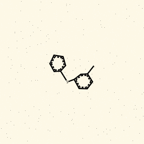 Cc1cccc(Sc2cc[c]cc2)c1